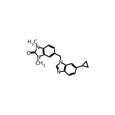 Cn1c(=O)n(C)c2cc(Cn3cnc4ccc(C5CC5)cc43)ccc21